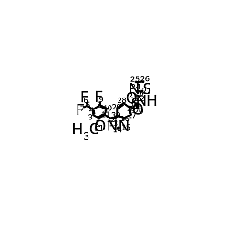 COc1cc(C(F)F)c(F)cc1-c1ncnc2cc(S(=O)(=O)NC3=NCCS3)ccc12